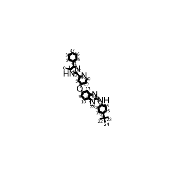 Cc1[nH]c(-c2cc(Oc3ccc4c(c3)nc(Nc3ccc(C(C)(C)C)cc3)n4C)ccn2)nc1-c1ccccc1